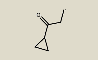 [CH2]CC(=O)C1CC1